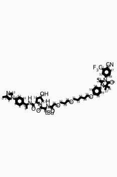 Cc1cn(-c2ccc(C(C)NC(=O)[C@@H]3C[C@@H](O)CN3C(=O)C(NC(=O)COCCCOCCCCCOc3ccc(N4C(=S)N(c5ccc(C#N)c(C(F)(F)F)c5)C(=O)C4(C)C)cc3)C(C)(C)C)cc2)cn1